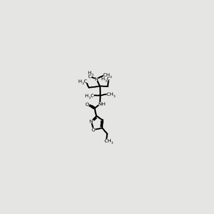 CCc1cc(C(=O)NC(C)(C)C(CC)(CC)N(C)C)no1